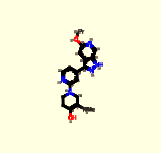 CNC1=C(O)CCN(c2cc(-c3n[nH]c4cnc(OC(C)C)cc34)ccn2)C1